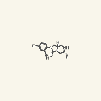 CC[C@@H]1CN2C(=O)N(c3ccc(Cl)cc3C#N)C[C@@H]2CN1